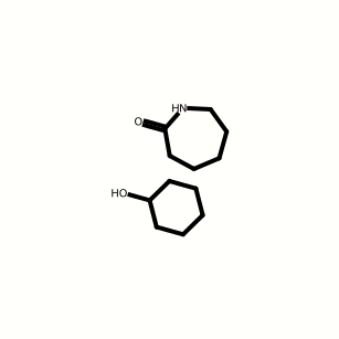 O=C1CCCCCN1.OC1CCCCC1